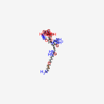 [N-]=[N+]=NCOC1C[C@H](n2cc(C#CCNC(=O)NCCCCCOCSSCCN)c3c(=O)[nH]c(N)nc32)O[C@@H]1COP(=O)(O)OP(=O)(O)OP(=O)(O)O